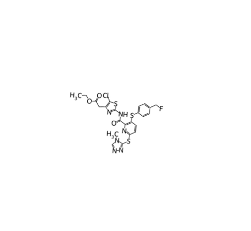 CCOC(=O)Cc1nc(NC(=O)c2nc(Sc3nncn3C)ccc2Sc2ccc(CF)cc2)sc1Cl